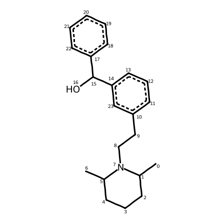 CC1CCCC(C)N1CCc1cccc(C(O)c2ccccc2)c1